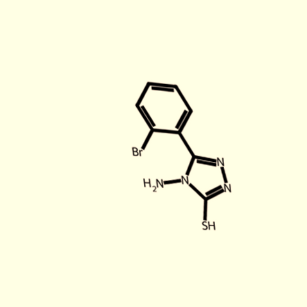 Nn1c(S)nnc1-c1ccccc1Br